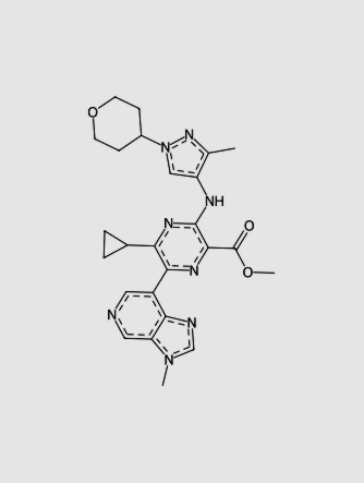 COC(=O)c1nc(-c2cncc3c2ncn3C)c(C2CC2)nc1Nc1cn(C2CCOCC2)nc1C